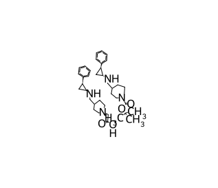 CC(C)(C)OC(=O)N1CCCC(CN[C@@H]2C[C@H]2c2ccccc2)CC1.O=C(O)CN1CCC(CN[C@@H]2C[C@H]2c2ccccc2)CC1